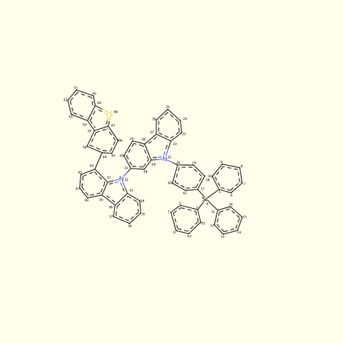 c1ccc([Si](c2ccccc2)(c2ccccc2)c2ccc(-n3c4ccccc4c4ccc(-n5c6ccccc6c6cccc(-c7ccc8sc9ccccc9c8c7)c65)cc43)cc2)cc1